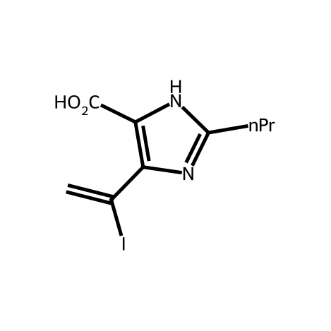 C=C(I)c1nc(CCC)[nH]c1C(=O)O